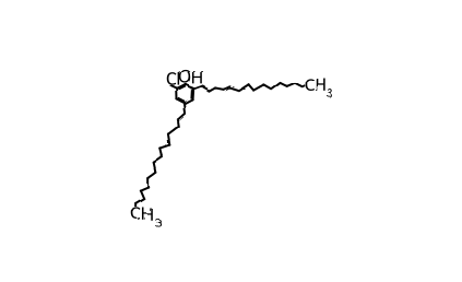 CCCCCCCCCCCCCCCc1cc(CCl)c(O)c(CCCCCCCCCCCCCCC)c1